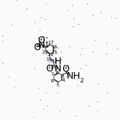 NC(=O)c1ccccc1NC(=O)/C=C/c1cccc([N+](=O)[O-])c1